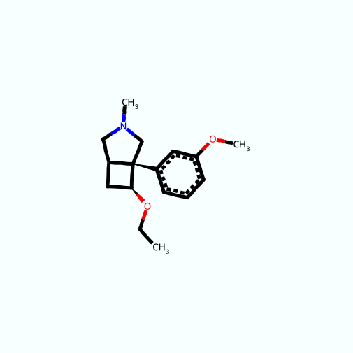 CCO[C@H]1CC2CN(C)C[C@@]21c1cccc(OC)c1